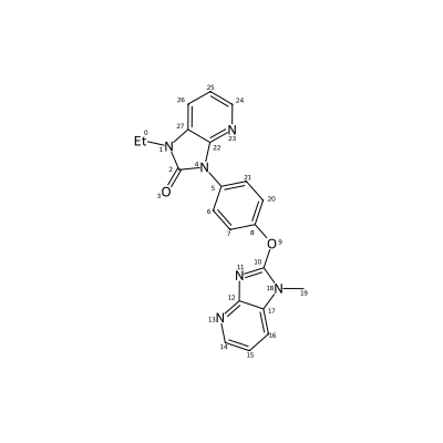 CCn1c(=O)n(-c2ccc(Oc3nc4ncccc4n3C)cc2)c2ncccc21